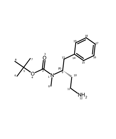 CN(C(=O)OC(C)(C)C)[C@@H](CCN)Cc1ccccc1